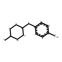 CC1CCC(Cc2ccc(F)cc2)CC1